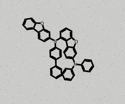 c1ccc(-c2ccc(N(c3ccc4c(c3)oc3ccccc34)c3cccc4oc5cc(N(c6ccccc6)c6ccccc6)ccc5c34)cc2)cc1